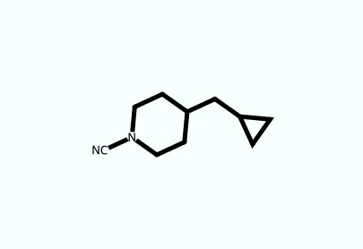 N#CN1CCC(CC2CC2)CC1